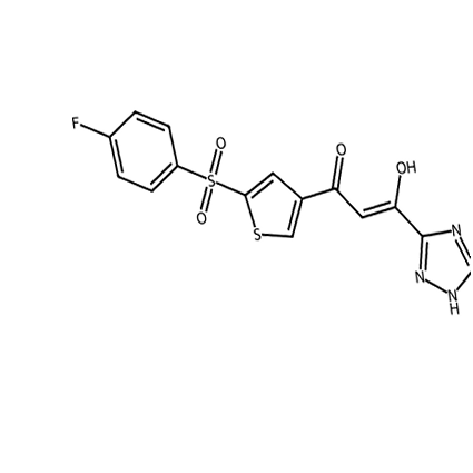 O=C(C=C(O)c1nc[nH]n1)c1csc(S(=O)(=O)c2ccc(F)cc2)c1